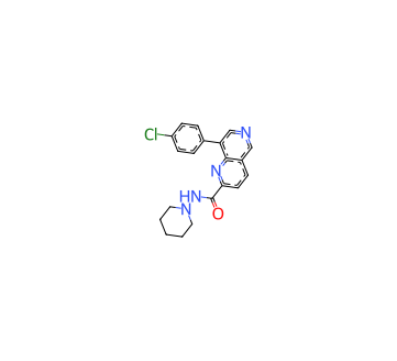 O=C(NN1CCCCC1)c1ccc2cncc(-c3ccc(Cl)cc3)c2n1